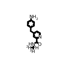 [2H]C([2H])([2H])NC(=O)c1cc(Cc2ccc(N)cc2)ccn1